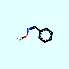 CO/N=C\c1ccccc1